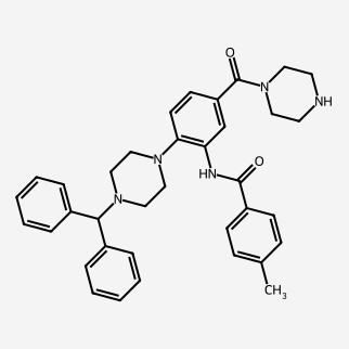 Cc1ccc(C(=O)Nc2cc(C(=O)N3CCNCC3)ccc2N2CCN(C(c3ccccc3)c3ccccc3)CC2)cc1